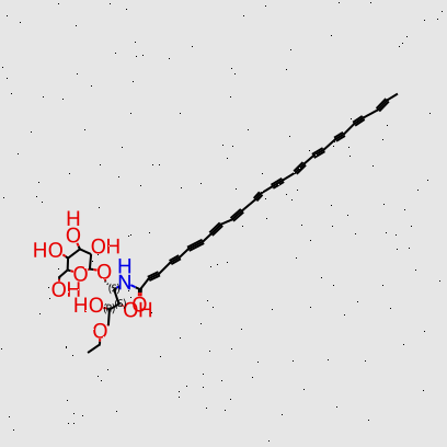 CC#CC#CC#CC#CC#CC#CC#CC#CC#CC#CC#CC#CC(=O)N[C@@H](COC1OC(CO)C(O)C(O)C1O)[C@H](O)[C@H](O)COCC